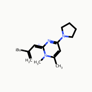 C=C(/C=C1/N=C(N2CCCC2)C=C(C)N1C)C(C)CC